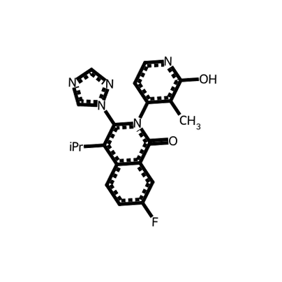 Cc1c(-n2c(-n3cncn3)c(C(C)C)c3ccc(F)cc3c2=O)ccnc1O